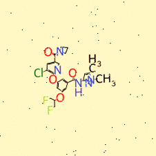 Cc1cc(NC(=O)c2cc(Oc3ncc(C(=O)N4CCC4)cc3Cl)cc(OC(CF)CF)c2)nn1C